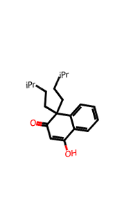 CC(C)CCC1(CCC(C)C)C(=O)C=C(O)c2ccccc21